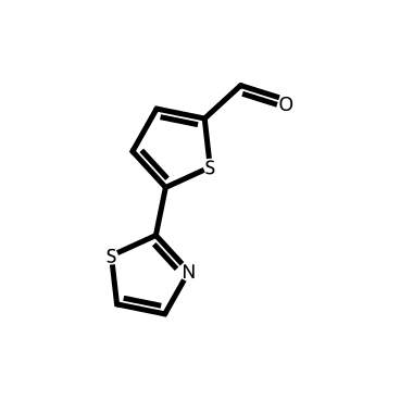 O=Cc1ccc(-c2nccs2)s1